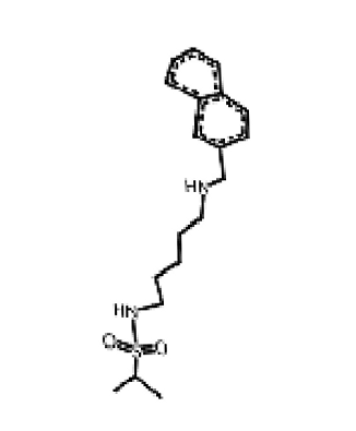 CC(C)S(=O)(=O)NCCCCCNCc1ccc2ccccc2c1